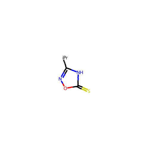 CC(C)c1noc(=S)[nH]1